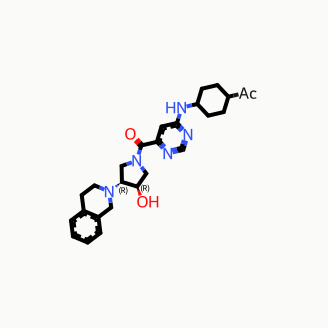 CC(=O)C1CCC(Nc2cc(C(=O)N3C[C@@H](O)[C@H](N4CCc5ccccc5C4)C3)ncn2)CC1